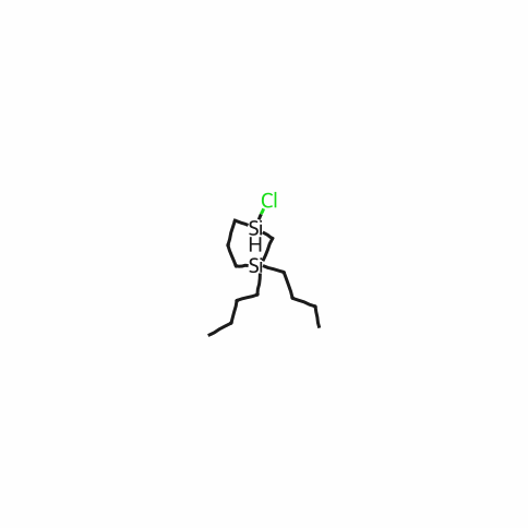 CCCC[Si]1(CCCC)CCC[SiH](Cl)C1